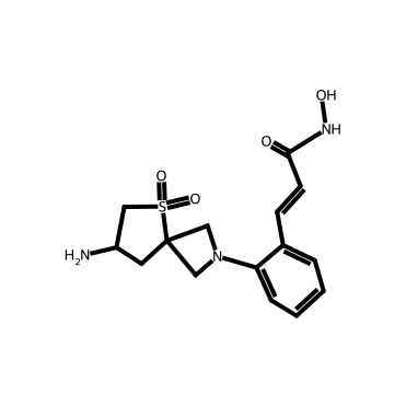 NC1CC2(CN(c3ccccc3C=CC(=O)NO)C2)S(=O)(=O)C1